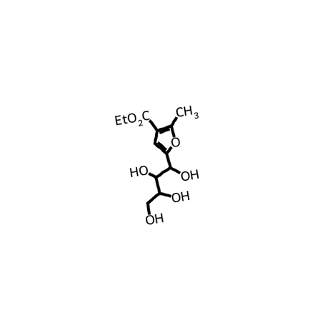 CCOC(=O)c1cc(C(O)C(O)C(O)CO)oc1C